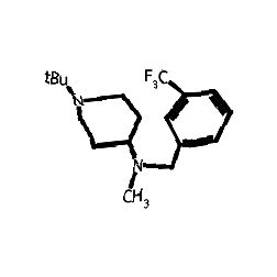 CN(Cc1cccc(C(F)(F)F)c1)C1CCN(C(C)(C)C)CC1